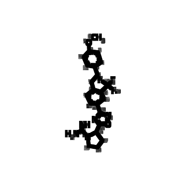 COc1ccc(CCc2ccc(-c3noc(C4CCCN4C(=N)N)n3)cc2C(F)(F)F)cc1